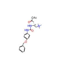 CC(=O)OC(=O)C[C@H](C[N+](C)(C)C)NC(=O)Nc1ccc(OCc2ccccc2)cc1